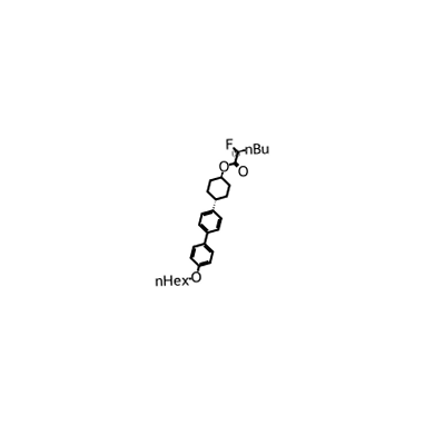 CCCCCCOc1ccc(-c2ccc([C@H]3CC[C@H](OC(=O)[C@@H](F)CCCC)CC3)cc2)cc1